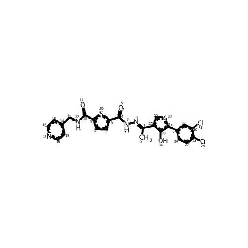 C/C(=N\NC(=O)c1ccc(C(=O)NCc2ccncc2)s1)c1csc(-c2ccc(Cl)c(Cl)c2)c1O